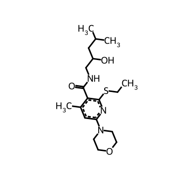 CCSc1nc(N2CCOCC2)cc(C)c1C(=O)NCC(O)CC(C)C